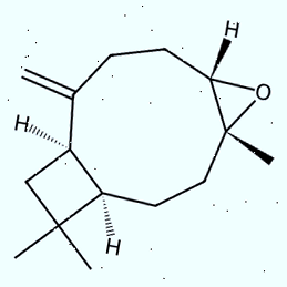 C=C1CC[C@@H]2O[C@]2(C)CC[C@@H]2[C@H]1CC2(C)C